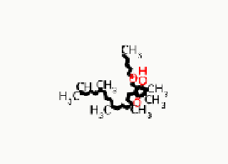 CCCCCCOCc1c(O)c(C)c(C)c2c1CC[C@@](C)(CCC[C@H](C)CCC[C@H](C)CCCC(C)C)O2